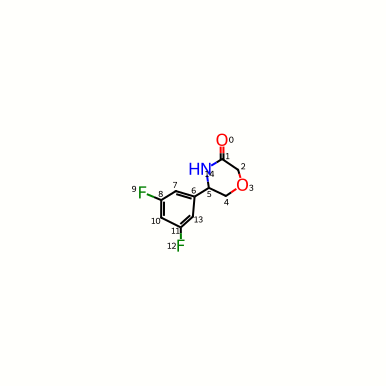 O=C1COCC(c2cc(F)cc(F)c2)N1